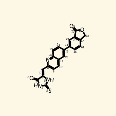 O=C1NC(=S)N/C1=C\c1ccc2cc(-c3ccc4c(c3)C(=O)OC4)ccc2n1